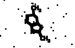 Cc1nc2c(s1)CC(C)C=N2